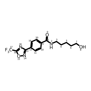 O=C(NCCCCCO)c1ccc(-c2noc(C(F)(F)F)n2)cc1